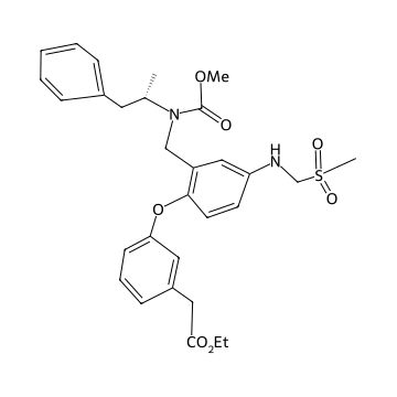 CCOC(=O)Cc1cccc(Oc2ccc(NCS(C)(=O)=O)cc2CN(C(=O)OC)[C@@H](C)Cc2ccccc2)c1